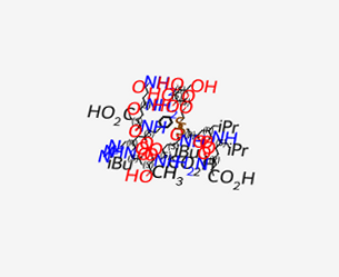 CCC(C)[C@H](CC(=O)[C@H](CC(=O)O)NC(=O)[C@@H](CC(=O)[C@@H](NC(=O)[C@H](CCN=[N+]=[N-])CC(=O)[C@H](Cc1ccccc1)NC(=O)[C@H](CC(=O)O)CC(=O)[C@@H](N)CCC(N)=O)C(C)CC)C(C)O)C(=O)N[C@@H](CSSCCO[C@H]1OC(CO)[C@@H](O)[C@H](O)C1O)C(=O)C[C@@H](CC(C)C)C(=O)N[C@@H](CC(C)C)C(=O)C[C@@H](CCC(=O)O)C(N)=O